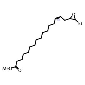 CCC1OC1C/C=C\CCCCCCCCCCCCC(=O)OC